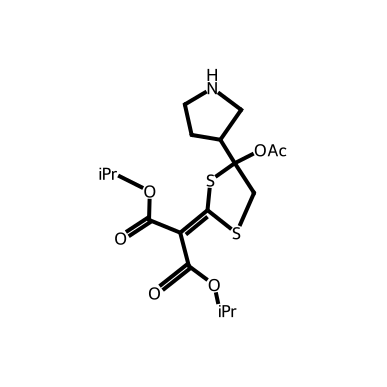 CC(=O)OC1(C2CCNC2)CSC(=C(C(=O)OC(C)C)C(=O)OC(C)C)S1